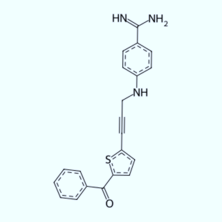 N=C(N)c1ccc(NCC#Cc2ccc(C(=O)c3ccccc3)s2)cc1